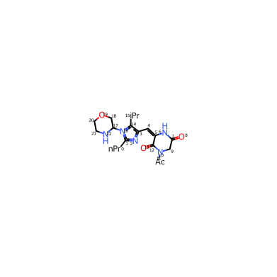 CCCc1nc(C=C2NC(=O)CN(C(C)=O)C2=O)c(C(C)C)n1C1COCCN1